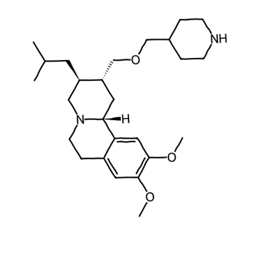 COc1cc2c(cc1OC)[C@H]1C[C@@H](COCC3CCNCC3)[C@H](CC(C)C)CN1CC2